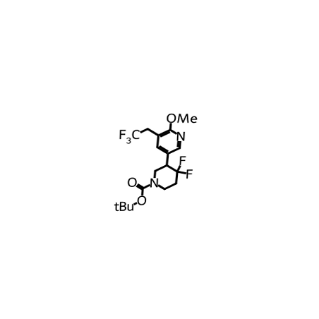 COc1ncc(C2CN(C(=O)OC(C)(C)C)CCC2(F)F)cc1CC(F)(F)F